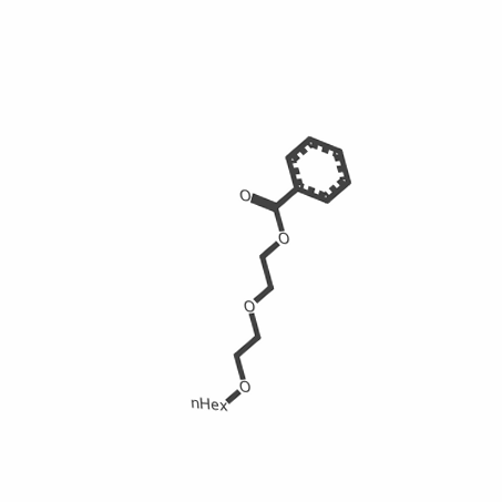 CCCCCCOCCOCCOC(=O)c1ccccc1